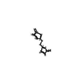 c1[nH]nnc1CCc1c[nH]nn1